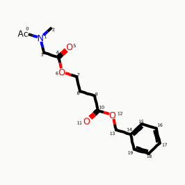 CC(=O)N(C)CC(=O)OCCCC(=O)OCc1ccccc1